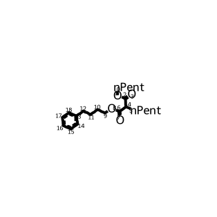 CCCCCOC(=O)C(CCCCC)C(=O)OCCCCc1ccccc1